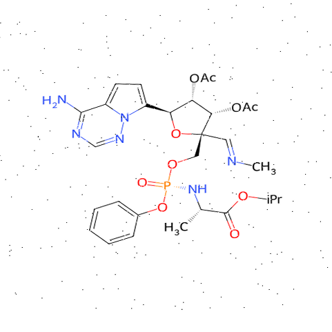 CN=C[C@]1(CO[P@@](=O)(N[C@@H](C)C(=O)OC(C)C)Oc2ccccc2)O[C@@H](c2ccc3c(N)ncnn23)[C@H](OC(C)=O)[C@@H]1OC(C)=O